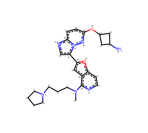 CN(CCCN1CCCC1)c1nccc2oc(-c3cnc4ccc(OC5CC(N)C5)nn34)cc12